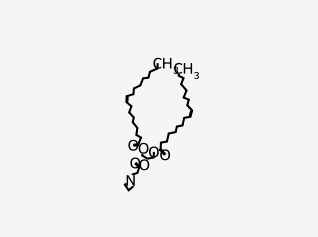 CCCCCCCC/C=C\CCCCCCCC(=O)OCC(COC(=O)CCCCCCC/C=C\CCCCCCCC)OC(=O)CCN1CCC1